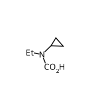 CCN(C(=O)O)C1CC1